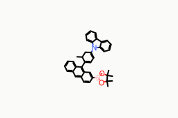 CC1CC(n2c3ccccc3c3ccccc32)=CC=C1c1c2ccccc2cc2ccc(B3OC(C)(C)C(C)(C)O3)cc12